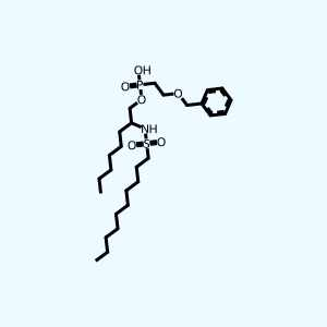 CCCCCCCCCCS(=O)(=O)NC(CCCCCC)COP(=O)(O)CCOCc1ccccc1